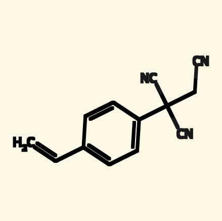 C=Cc1ccc(C(C#N)(C#N)CC#N)cc1